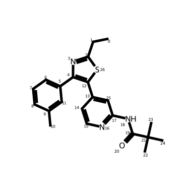 CCc1nc(-c2cccc(C)c2)c(-c2ccnc(NC(=O)C(C)(C)C)c2)s1